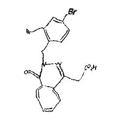 O=C(O)Cc1nn(Cc2ccc(Br)cc2Br)c(=O)c2ccccc12